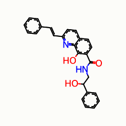 O=C(NCC(O)c1ccccc1)c1ccc2ccc(C=Cc3ccccc3)nc2c1O